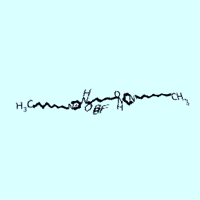 CCCCCCCCCC[n+]1ccc(NC(=O)CCCCC(=O)Nc2cc[n+](CCCCCCCCCC)cc2)cc1.[Br-].[Br-]